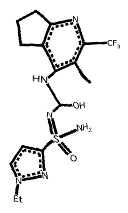 CCn1ccc(S(N)(=O)=NC(O)Nc2c(C)c(C(F)(F)F)nc3c2CCC3)n1